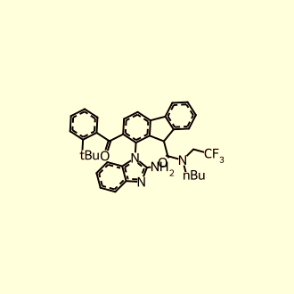 CCCCN(CC(F)(F)F)C(=O)C1c2ccccc2-c2ccc(C(=O)c3ccccc3C(C)(C)C)c(-n3c(N)nc4ccccc43)c21